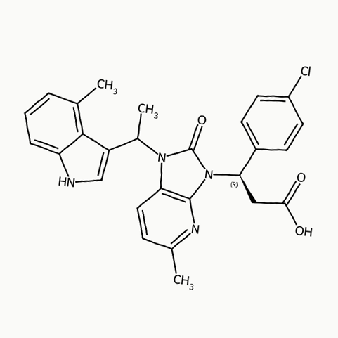 Cc1ccc2c(n1)n([C@H](CC(=O)O)c1ccc(Cl)cc1)c(=O)n2C(C)c1c[nH]c2cccc(C)c12